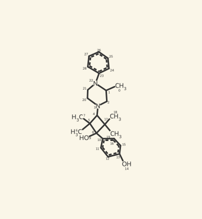 CC1CN(C2C(C)(C)C(O)(c3ccc(O)cc3)C2(C)C)CCN1c1ccccc1